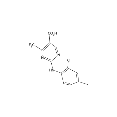 Cc1ccc(Nc2ncc(C(=O)O)c(C(F)(F)F)n2)c(Cl)c1